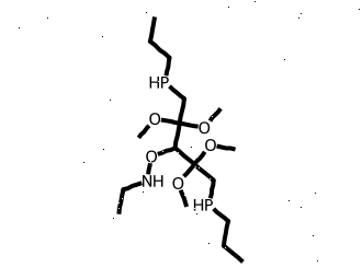 CCCPCC(OC)(OC)C(ONCC)C(CPCCC)(OC)OC